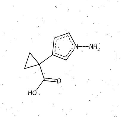 Nn1ccc(C2(C(=O)O)CC2)c1